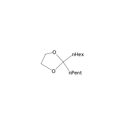 [CH2]CCCCCC1(CCCCC)OCCO1